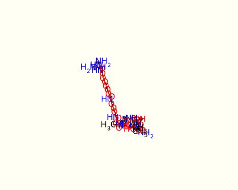 CCCC[C@H](NC(=O)CCC(=O)NCCCOCCOCCOCCCNC(=O)CCOCCOCCOCCOCCOCCOCCNC(=O)C(CNCCN)CNCCN)C(=O)N=CC(CSCc1cccc(CSC[C@H](NC(=O)[C@H](Cc2ccccc2)NC(=O)[C@H](CCC(N)=O)NC(=O)[C@@H](C)[C@@H](C)O)C(=O)O)c1)C(=O)N1CCC[C@H]1C(=O)N1CCC[C@H]1C(N)=O